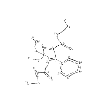 CCOC(=O)C1=NC(CC)(COC)C(C(=O)OCC)=C1c1ccccc1